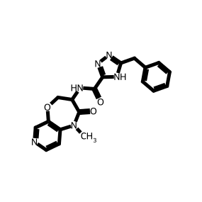 CN1C(=O)C(NC(=O)c2nnc(Cc3ccccc3)[nH]2)COc2cnccc21